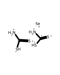 NC(=S)S.NC(=S)S.[Se]